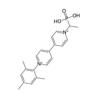 Cc1cc(C)c(-[n+]2ccc(-c3cc[n+](C(C)P(=O)(O)O)cc3)cc2)c(C)c1